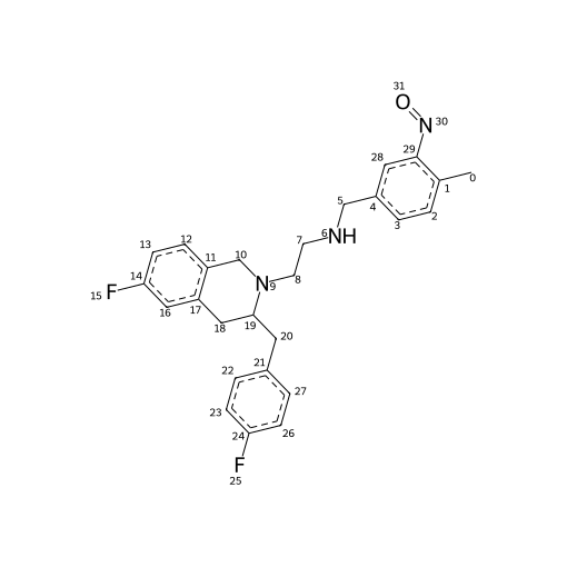 Cc1ccc(CNCCN2Cc3ccc(F)cc3CC2Cc2ccc(F)cc2)cc1N=O